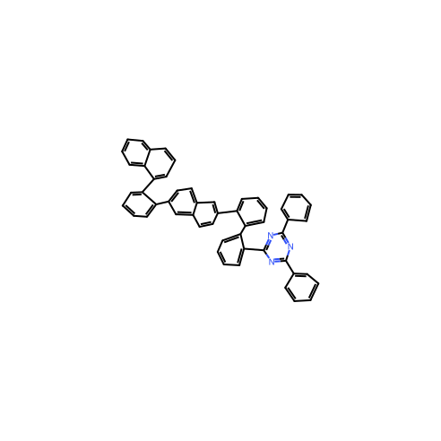 c1ccc(-c2nc(-c3ccccc3)nc(-c3ccccc3-c3ccccc3-c3ccc4cc(-c5ccccc5-c5cccc6ccccc56)ccc4c3)n2)cc1